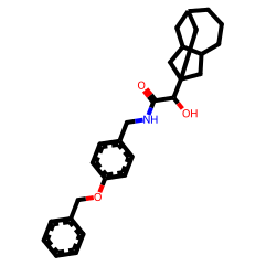 O=C(NCc1ccc(OCc2ccccc2)cc1)C(O)C12CC3CCCC(C1)C(C3)C2